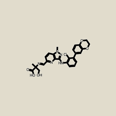 Cn1nc(Nc2cccc(-c3ccc4c(c3)OCCO4)c2Cl)c2nc(C=NC(C)(CO)C(=O)O)ccc21